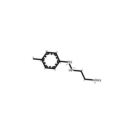 CCCCCCCCPPc1ccc(C)cc1